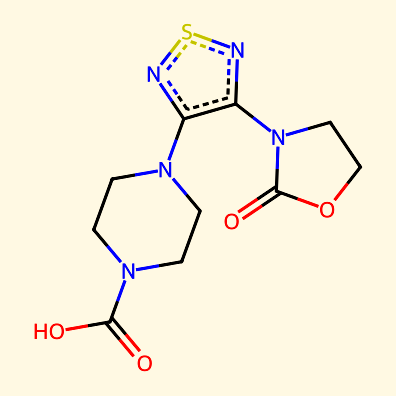 O=C(O)N1CCN(c2nsnc2N2CCOC2=O)CC1